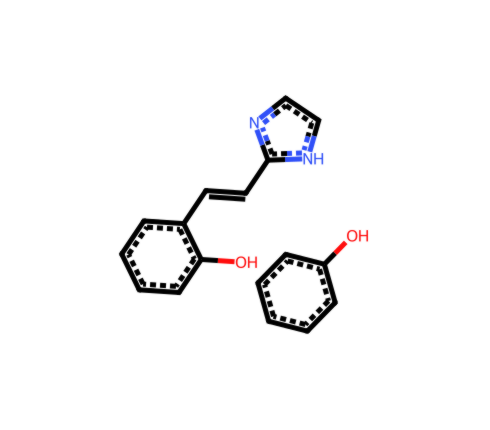 Oc1ccccc1.Oc1ccccc1C=Cc1ncc[nH]1